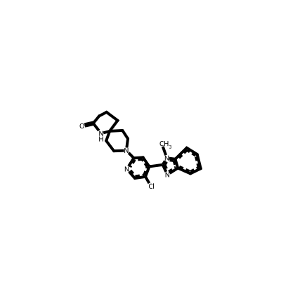 Cn1c(-c2cc(N3CCC4(CCCC(=O)N4)CC3)ncc2Cl)nc2ccccc21